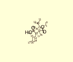 CCOC(=O)C(CC)(CCC(C)C)C(CCC(C)C)C(=O)O